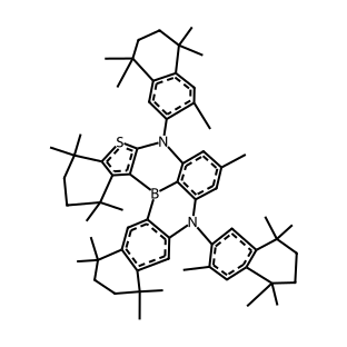 Cc1cc2c3c(c1)N(c1cc4c(cc1C)C(C)(C)CCC4(C)C)c1sc4c(c1B3c1cc3c(cc1N2c1cc2c(cc1C)C(C)(C)CCC2(C)C)C(C)(C)CCC3(C)C)C(C)(C)CCC4(C)C